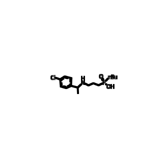 CCCCP(=O)(O)CCCNC(C)c1ccc(Cl)cc1